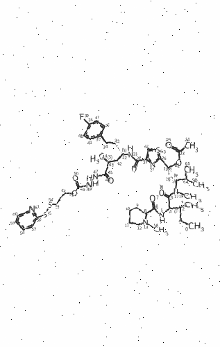 CC[C@H](C)C(NC(=O)C1CCCCN1C)C(=O)N(C)[C@H](C[C@@H](OC(C)=O)c1nc(C(=O)N[C@@H](CCc2ccc(F)cc2)C[C@H](C)C(=O)NNC(=O)OCCSSc2ccccn2)cs1)C(C)C